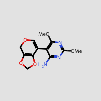 COc1nc(N)c(C2=COCC3=C2OCO3)c(OC)n1